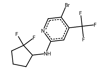 FC(F)(F)c1cc(NC2CCCC2(F)F)ncc1Br